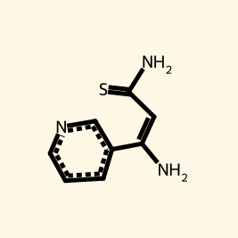 NC(=S)/C=C(/N)c1cccnc1